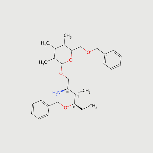 CC[C@@H](OCc1ccccc1)[C@@H](C)[C@@H](N)COC1OC(COCc2ccccc2)C(C)C(C)C1C